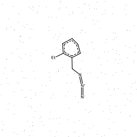 CCc1ccccc1CN=[N+]=[N-]